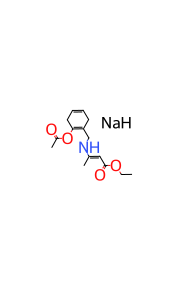 CCOC(=O)C=C(C)NCC1=C(OC(C)=O)CC=CC1.[NaH]